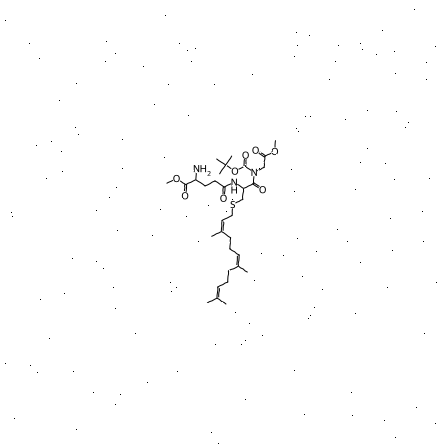 COC(=O)CN(C(=O)OC(C)(C)C)C(=O)C(CSCC=C(C)CCC=C(C)CCC=C(C)C)NC(=O)CCC(N)C(=O)OC